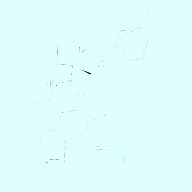 CC(NC(=O)[C@]1(C)CCCN1S(=O)(=O)c1cc(Cl)cc(Cl)c1)C(Cc1ccc(Cl)cc1)c1ccc(Cl)cc1